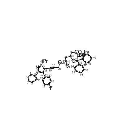 CC(C)n1nc(-c2ccccc2)c(-c2ccc(F)cc2)c1C#CCO[PH](=O)CC(CC(=O)O)O[Si](c1ccccc1)(c1ccccc1)C(C)(C)C